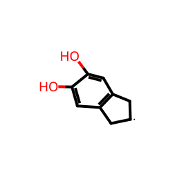 Oc1cc2c(cc1O)C[CH]C2